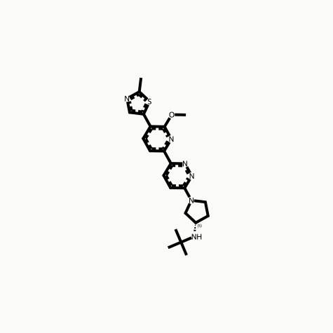 COc1nc(-c2ccc(N3CC[C@H](NC(C)(C)C)C3)nn2)ccc1-c1cnc(C)s1